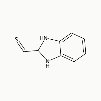 S=CC1Nc2ccccc2N1